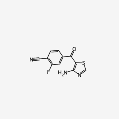 N#Cc1ccc(C(=O)c2scnc2N)cc1F